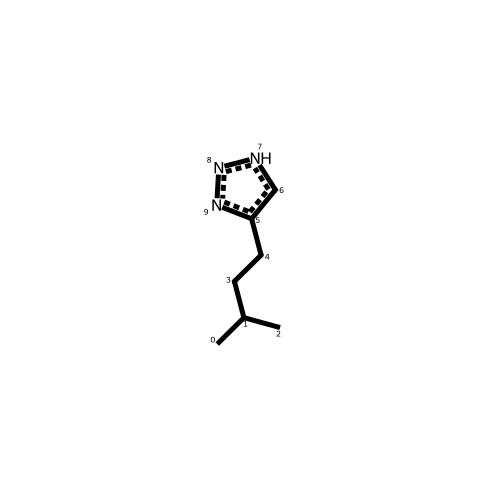 C[C](C)CCc1c[nH]nn1